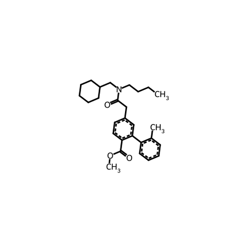 CCCCN(CC1CCCCC1)C(=O)Cc1ccc(C(=O)OC)c(-c2ccccc2C)c1